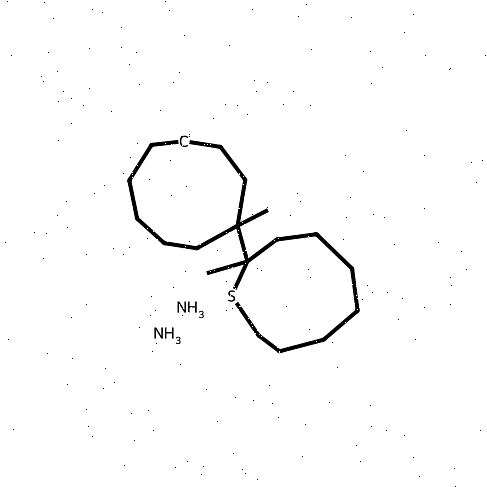 CC1(C2(C)CCCCCCCS2)CCCCCCCC1.N.N